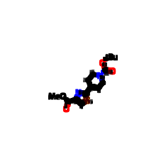 COC(=O)c1csc(C2=CCN(C(=O)OC(C)(C)C)CC2)n1